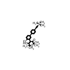 CCc1ccc(-c2ccc(C#C[Si](C)(C)C)cc2)cc1C1=C(O)C(C)(C)OC(C)(C)C1=O